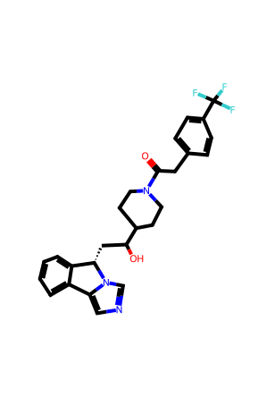 O=C(Cc1ccc(C(F)(F)F)cc1)N1CCC(C(O)C[C@H]2c3ccccc3-c3cncn32)CC1